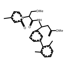 C=C(CC(NC(=O)C(COC)n1ccc(C)cc1=O)c1cccc(-c2c(C)cccc2C)c1)OC